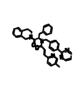 Cc1ccc(C=CC(=O)N(Cc2ccc(-c3ncccn3)cc2)C(Cc2ccccc2)C(=O)N2CCc3ccccc3C2)nc1